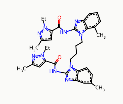 CCn1nc(C)cc1C(=O)Nc1nc2cc(C)ccc2n1CCCCn1c(NC(=O)c2cc(C)nn2CC)nc2cccc(C)c21